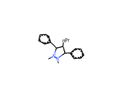 CCCC1C(c2ccccc2)N(C)N(C)C1c1ccccc1